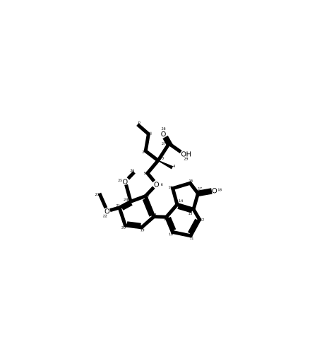 CCC[C@@](C)(COc1c(-c2cccc3c2CCC3=O)ccc(OC)c1OC)C(=O)O